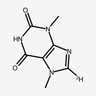 [2H]c1nc2c(c(=O)[nH]c(=O)n2C)n1C